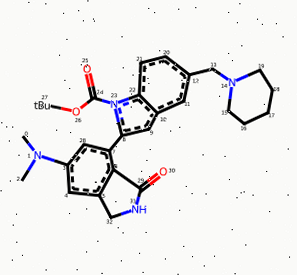 CN(C)c1cc2c(c(-c3cc4cc(CN5CCCCC5)ccc4n3C(=O)OC(C)(C)C)c1)C(=O)NC2